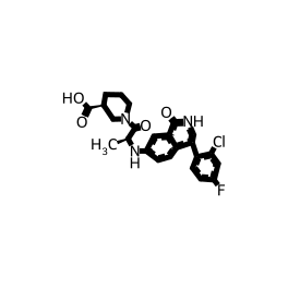 C[C@H](Nc1ccc2c(-c3ccc(F)cc3Cl)c[nH]c(=O)c2c1)C(=O)N1CCC[C@H](C(=O)O)C1